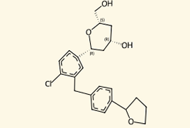 OC[C@@H]1C[C@H](O)C[C@H](c2ccc(Cl)c(Cc3ccc(C4CCCO4)cc3)c2)O1